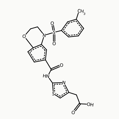 Cc1cccc(S(=O)(=O)N2CCOc3ccc(C(=O)Nc4nc(CC(=O)O)cs4)cc32)c1